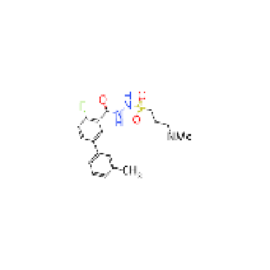 CNCCCS(=O)(=O)NNC(=O)c1cc(-c2cccc(C)c2)ccc1F